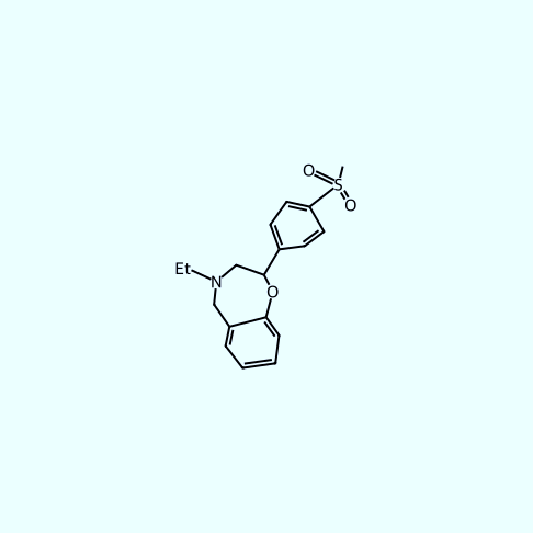 CCN1Cc2ccccc2OC(c2ccc(S(C)(=O)=O)cc2)C1